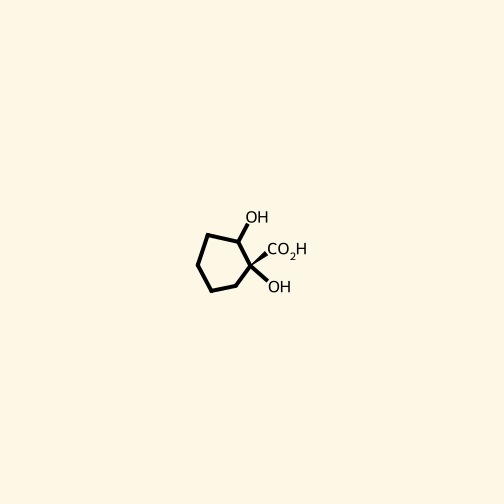 O=C(O)[C@@]1(O)CCCCC1O